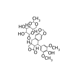 COc1cc(C2c3cc4c(cc3[C@@H](O[C@@H]3O[C@@H]5COC(C)O[C@H]5[C@H](O)C3O)[C@H]3COC(=O)[C@H]23)OCO4)cc(OC)c1O